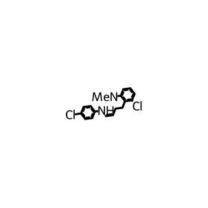 CNc1cccc(Cl)c1CC/C=C\Nc1ccc(Cl)cc1